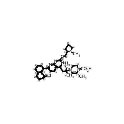 C[C@@H]1CN(C(C)(C)Cc2nc(OCC3CCCN3C)nc3nc(-c4cccc5cccc(Cl)c45)ccc23)CCN1C(=O)O